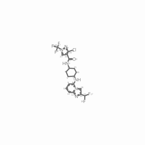 O=C(NC1CCC(Nc2cccc3nc(C(F)F)cn23)CC1)c1cn(C(F)(F)F)nc1Cl